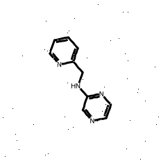 c1ccc(CNc2cnccn2)nc1